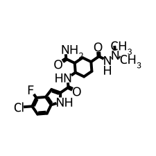 CN(C)NC(=O)C1CCC(NC(=O)c2cc3c(F)c(Cl)ccc3[nH]2)C(C(N)=O)C1